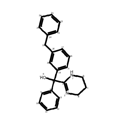 OC(C1=NCCCN1)(c1ccccc1)c1cccc(Cc2ccccc2)c1